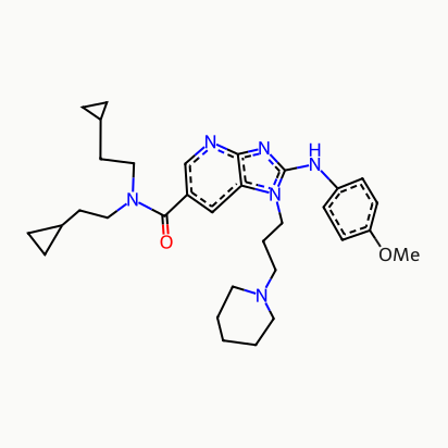 COc1ccc(Nc2nc3ncc(C(=O)N(CCC4CC4)CCC4CC4)cc3n2CCCN2CCCCC2)cc1